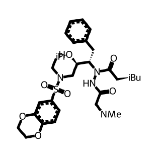 CC[C@H](C)CC(=O)N(NC(=O)CNC)[C@@H](Cc1ccccc1)[C@H](O)CN(CC(C)C)S(=O)(=O)c1ccc2c(c1)OCCO2